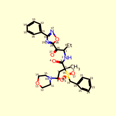 CCC(NC(=O)[C@@](C)(CC(=O)N1CCOCC1)S(=O)(=O)Cc1ccccc1)C(=O)c1nc(-c2ccccc2)no1